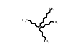 CCCCC[N+](CCCCC)(CCCCC)CCCCCCN